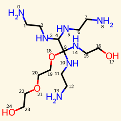 NCCNC(NCCN)C(NCCN)(NCCO)OCCOCCO